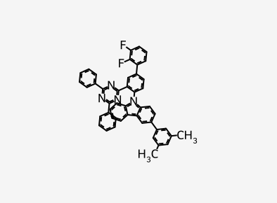 Cc1cc(C)cc(-c2ccc3c(c2)c2ccccc2n3-c2ccc(-c3cccc(F)c3F)cc2-c2nc(-c3ccccc3)nc(-c3ccccc3)n2)c1